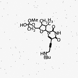 C=P(O)(OC)OCC1OC(n2cc(C#CCNC(C)(C)C)c(=O)[nH]c2=O)C(C)C1C